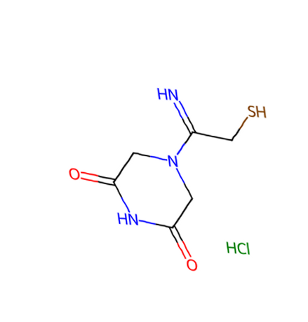 Cl.N=C(CS)N1CC(=O)NC(=O)C1